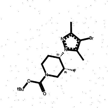 Cc1nn([C@H]2CCN(C(=O)OC(C)(C)C)C[C@H]2F)c(C)c1Br